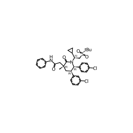 CC(C)(C)S(=O)(=O)C[C@H](C1CC1)N1C(=O)[C@@](C)(CC(=O)Nc2ccccc2)C[C@H](c2cccc(Cl)c2)[C@@H]1c1ccc(Cl)cc1